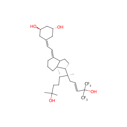 CC(C)(O)CCC[C@](C)(C/C=C/C(O)(C(F)(F)F)C(F)(F)F)[C@H]1CCC2/C(=C/C=C3C[C@@H](O)C[C@H](O)C3)CCC[C@@]21C